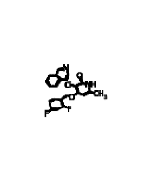 Cc1cc(OCc2ccc(F)cc2F)c(Cl)c(=O)[nH]1.c1ccc2cnccc2c1